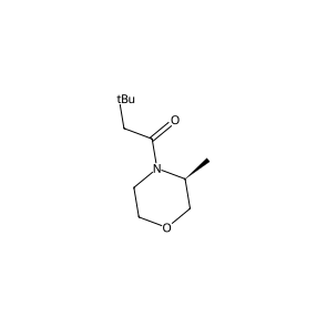 C[C@H]1COCCN1C(=O)CC(C)(C)C